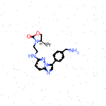 CC(C)[C@@H]1COC(=O)N1CCNc1ccc2ncc(-c3ccc(CN)cc3)n2n1